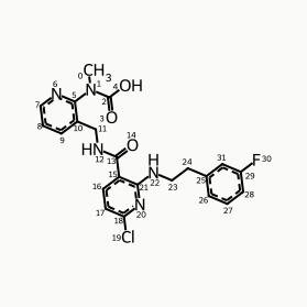 CN(C(=O)O)c1ncccc1CNC(=O)c1ccc(Cl)nc1NCCc1cccc(F)c1